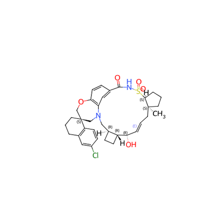 C[C@]12C/C=C/[C@H](O)[C@@H]3CC[C@H]3CN3C[C@@]4(CCCc5cc(Cl)ccc54)COc4ccc(cc43)C(=O)NS(=O)(=O)[C@H]1CCC2